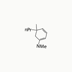 CCCC1(C)C=CC=C(NC)C1